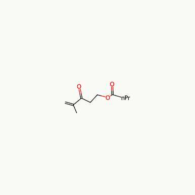 C=C(C)C(=O)CCOC(=O)CCC